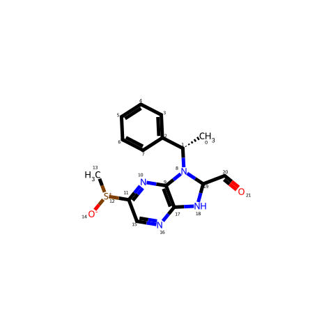 C[C@@H](c1ccccc1)N1c2nc([S+](C)[O-])cnc2NC1C=O